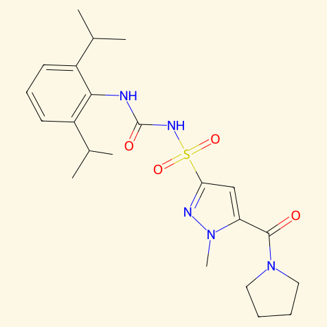 CC(C)c1cccc(C(C)C)c1NC(=O)NS(=O)(=O)c1cc(C(=O)N2CCCC2)n(C)n1